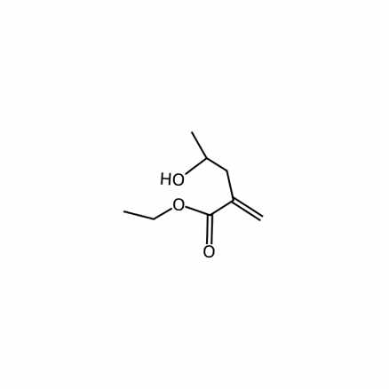 C=C(CC(C)O)C(=O)OCC